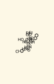 CCCCC(NC(=O)O)(NC(=O)CN(C)NC(=O)NCc1ccc(Cl)cc1)C(=O)N(Cc1cccc2ccccc12)[C@@H](C)C(OCC)OCC